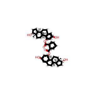 C[C@]12CC[C@@H]3c4c(cc(O)cc4OC(=O)c4ccccc4C(=O)Oc4cc(O)cc5c4[C@H]4CC[C@]6(C)[C@H](O)CC[C@H]6[C@@H]4CC5)CC[C@H]3[C@@H]1CC[C@H]2O